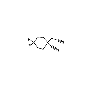 N#CCC1(C#N)CCC(F)(F)CC1